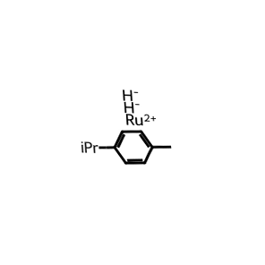 Cc1ccc(C(C)C)cc1.[H-].[H-].[Ru+2]